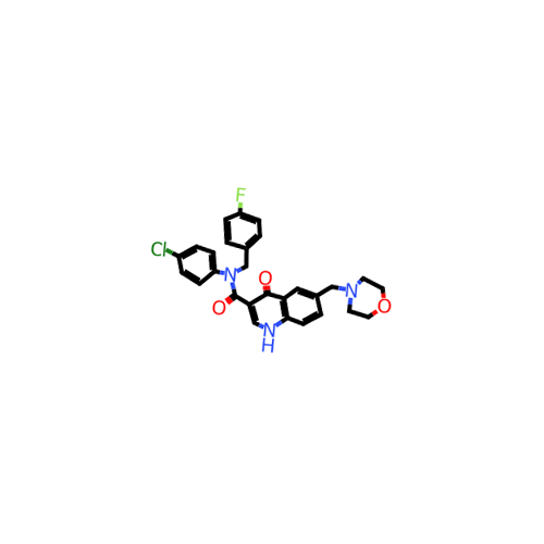 O=C(c1c[nH]c2ccc(CN3CCOCC3)cc2c1=O)N(Cc1ccc(F)cc1)c1ccc(Cl)cc1